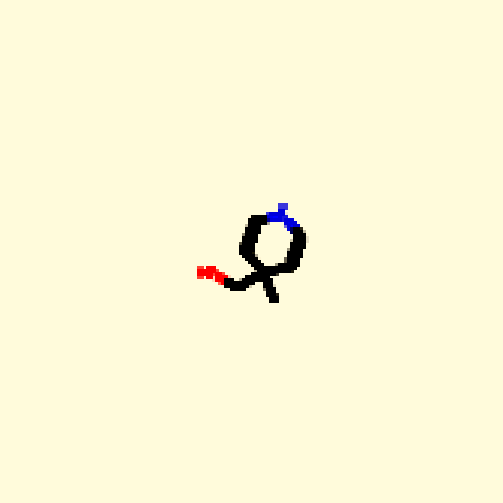 CC1(CO)C=CNC=C1